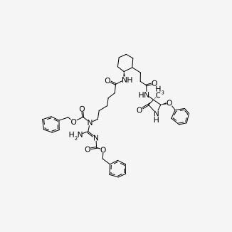 C[C@@]1(NC(=O)CCC2CCCC[C@@H]2NC(=O)CCCCCN(C(=O)OCc2ccccc2)C(N)=NC(=O)OCc2ccccc2)C(=O)N[C@@H]1Oc1ccccc1